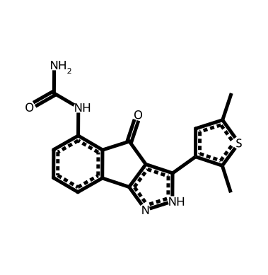 Cc1cc(-c2[nH]nc3c2C(=O)c2c(NC(N)=O)cccc2-3)c(C)s1